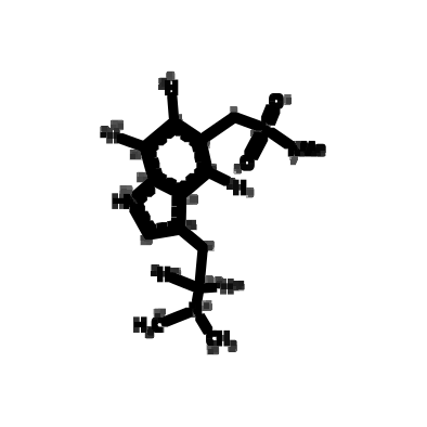 [2H]c1c(CS(=O)(=O)NC)c([2H])c2c(CC([2H])([2H])N(C)C)c[nH]c2c1[2H]